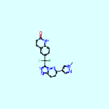 Cn1cc(-c2ccc3nnc(C(F)(F)c4ccc5[nH]c(=O)ccc5c4)n3n2)cn1